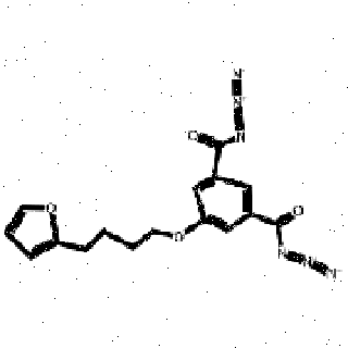 [N-]=[N+]=NC(=O)c1cc(OCCCCc2ccco2)cc(C(=O)N=[N+]=[N-])c1